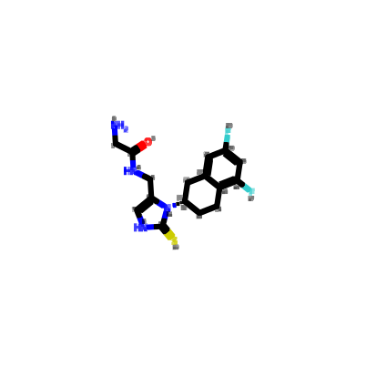 NCC(=O)NCc1c[nH]c(=S)n1[C@H]1CCc2c(F)cc(F)cc2C1